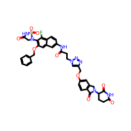 O=C1CCC(N2Cc3cc(OCc4cn(CCC(=O)Nc5ccc6c(F)c(N7CC(=O)NS7(=O)=O)c(OCc7ccccc7)cc6c5)nn4)ccc3C2=O)C(=O)N1